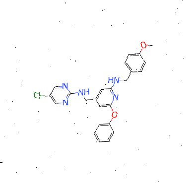 COc1ccc(CNc2cc(CNc3ncc(Cl)cn3)cc(Oc3cc[c]cc3)n2)cc1